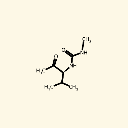 CNC(=O)N[C@H](C(C)=O)C(C)C